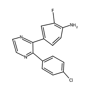 Nc1ccc(-c2nccnc2-c2ccc(Cl)cc2)cc1F